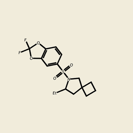 CCC1CC2(CCC2)CN1S(=O)(=O)c1ccc2c(c1)OC(F)(F)O2